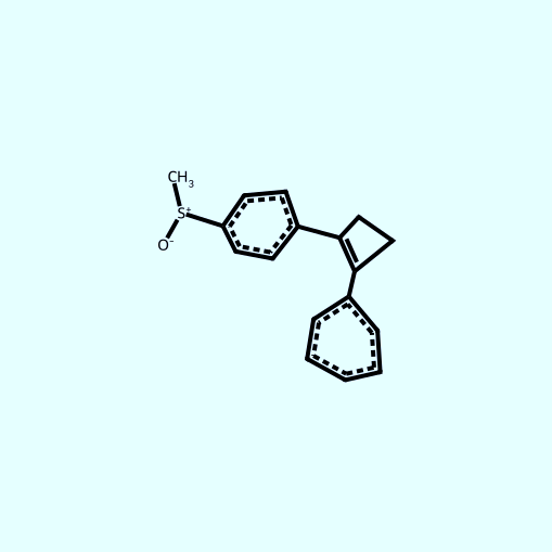 C[S+]([O-])c1ccc(C2=C(c3ccccc3)CC2)cc1